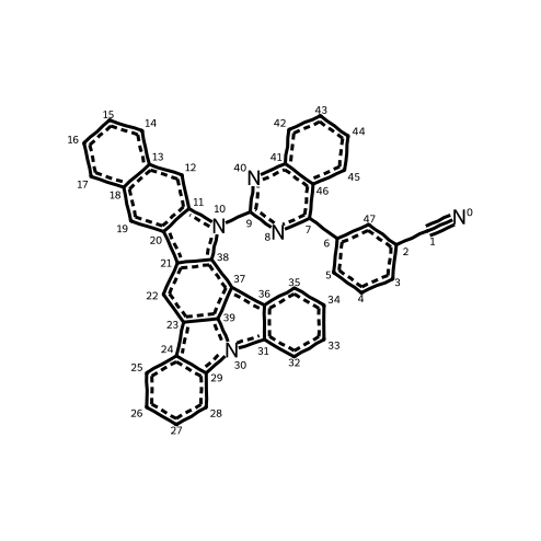 N#Cc1cccc(-c2nc(-n3c4cc5ccccc5cc4c4cc5c6ccccc6n6c7ccccc7c(c43)c56)nc3ccccc23)c1